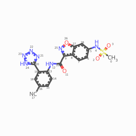 CS(=O)(=O)Nc1ccc2c(C(=O)Nc3ccc(C#N)cc3-c3nnn[nH]3)noc2c1